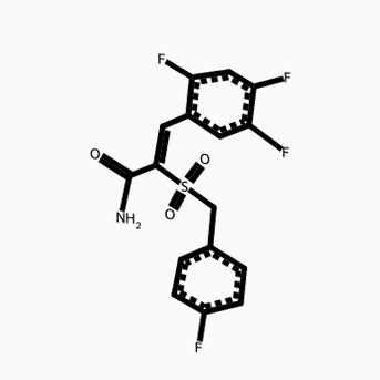 NC(=O)/C(=C/c1cc(F)c(F)cc1F)S(=O)(=O)Cc1ccc(F)cc1